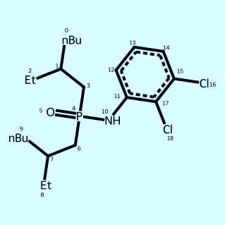 CCCCC(CC)CP(=O)(CC(CC)CCCC)Nc1cccc(Cl)c1Cl